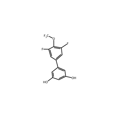 Oc1cc(O)cc(-c2cc(F)c(OC(F)(F)F)c(F)c2)c1